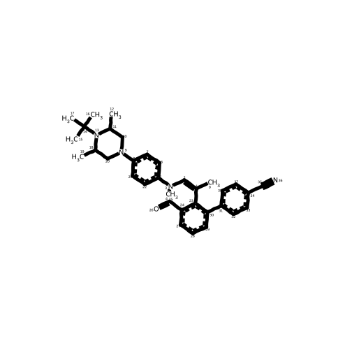 C/C(=C/N(C)c1ccc(N2CC(C)N(C(C)(C)C)C(C)C2)cc1)c1c(C=O)cccc1-c1ccc(C#N)cc1